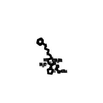 CCOC(=O)[C@H](CSCCSc1ccccc1)N[C@@H](C)C(=O)N1CCC[C@H]1C(=O)OC(C)(C)C